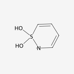 OS1(O)C=CC=C[N]1